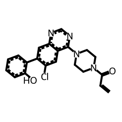 C=CC(=O)N1CCN(c2ncnc3cc(-c4ccccc4O)c(Cl)cc23)CC1